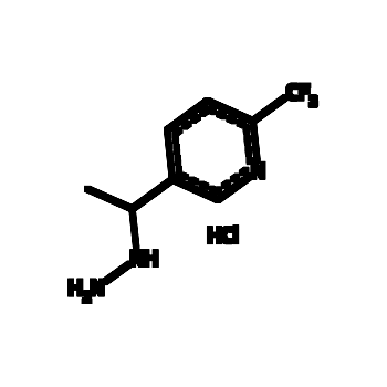 CC(NN)c1ccc(C(F)(F)F)nc1.Cl